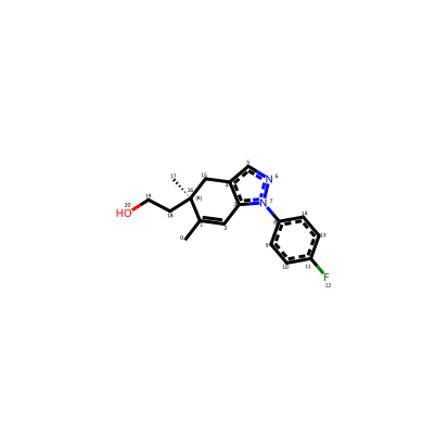 CC1=Cc2c(cnn2-c2ccc(F)cc2)C[C@]1(C)CCO